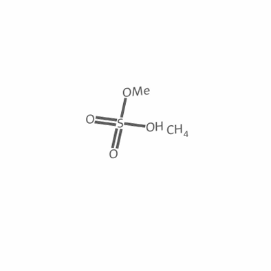 C.COS(=O)(=O)O